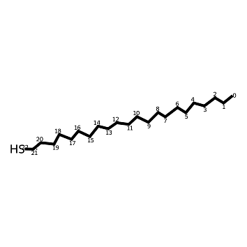 CCCCCCCCCCCCCCCCCCCCC[CH]S